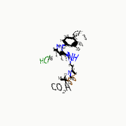 Cc1cc(NCCc2csc(SC(C)(C)C(=O)O)n2)n(-c2ccc(C(F)(F)F)cc2)n1.Cl